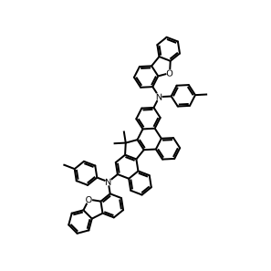 Cc1ccc(N(c2ccc3c4c(c5ccccc5c3c2)-c2c(cc(N(c3ccc(C)cc3)c3cccc5c3oc3ccccc35)c3ccccc23)C4(C)C)c2cccc3c2oc2ccccc23)cc1